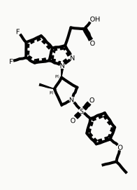 CC(C)Oc1ccc(S(=O)(=O)N2C[C@@H](C)[C@@H](n3nc(CC(=O)O)c4cc(F)c(F)cc43)C2)cc1